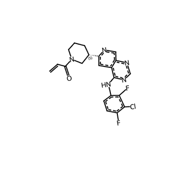 C=CC(=O)N1CCC[C@H](c2cc3c(Nc4ccc(F)c(Cl)c4F)ncnc3cn2)C1